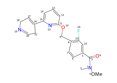 CON(C)C(=O)c1ccc(COc2cccc(C3=CCN=CC3)n2)c(F)c1